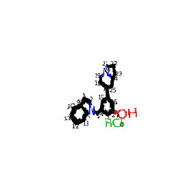 Cl.Oc1cc(Cn2ccc3ccccc32)cc(C2=CCN3CCCC3C2)c1